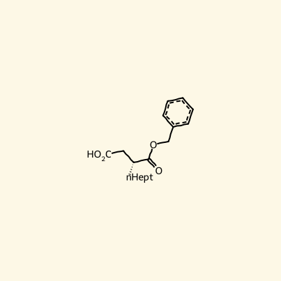 CCCCCCC[C@H](CC(=O)O)C(=O)OCc1ccccc1